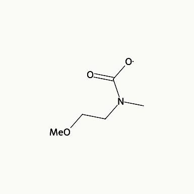 COCCN(C)C([O])=O